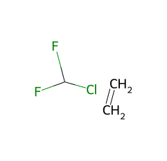 C=C.FC(F)Cl